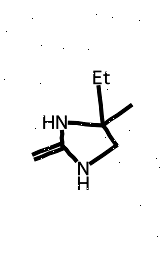 C=C1NCC(C)(CC)N1